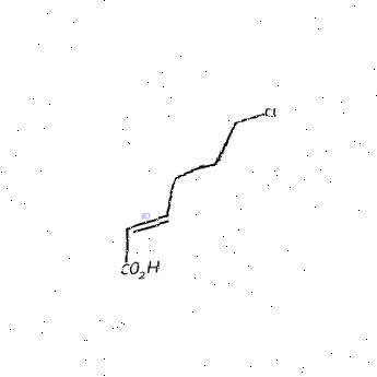 O=C(O)/C=C/CCCCl